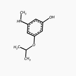 CNc1cc(O)cc(OC(C)C)c1